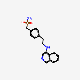 NS(=O)(=O)Cc1ccc(CCNc2cncc3ccccc23)cc1